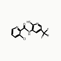 O=C(Nc1cc(C(F)(F)F)cnc1S)c1ncccc1Cl